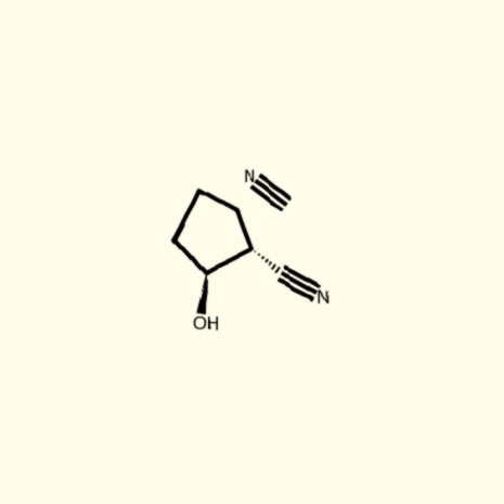 C#N.N#C[C@H]1CCC[C@@H]1O